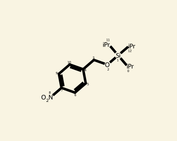 CC(C)[Si](OCc1ccc([N+](=O)[O-])cc1)(C(C)C)C(C)C